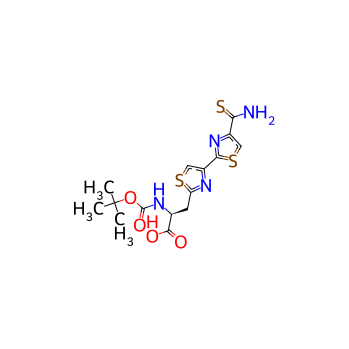 CC(C)(C)OC(=O)N[C@@H](Cc1nc(-c2nc(C(N)=S)cs2)cs1)C(=O)O